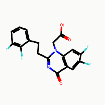 O=C(O)Cn1c(CCc2cccc(F)c2F)nc(=O)c2cc(F)c(F)cc21